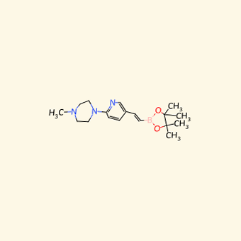 CN1CCN(c2ccc(C=CB3OC(C)(C)C(C)(C)O3)cn2)CC1